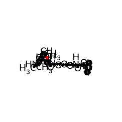 C=C1C=C2Oc3cc(NCC)c(C)cc3C(c3ccc(C(=O)NCCOCCOCCOCCNC(=O)CCC(=O)N4Cc5ccccc5/C=C\c5ccccc54)cc3C(=O)O)C2C=C1C